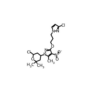 Cc1c([N+](=O)[O-])c(OCCCn2ccc(Cl)n2)nn1C1CC(Cl)OC(C)(C)C1